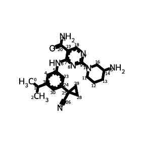 CC(C)c1cc(Nc2nc(N3CCCC(N)C3)ncc2C(N)=O)cc(C2(C#N)CC2)c1